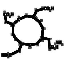 N.O=C(O)CN1CCN(CC(=O)O)CCN(CC(=O)O)CCN(CC(=O)O)CC1